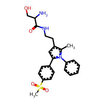 Cc1c(CCNC(=O)C(N)CO)cc(-c2ccc(S(C)(=O)=O)cc2)n1-c1ccccc1